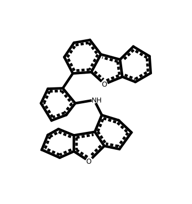 c1ccc(-c2cccc3c2oc2ccccc23)c(Nc2cccc3oc4ccccc4c23)c1